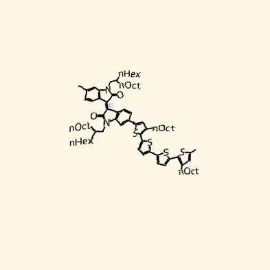 CCCCCCCCc1cc(C)sc1-c1ccc(-c2ccc(-c3sc(-c4ccc5c(c4)N(CC(CCCCCC)CCCCCCCC)C(=O)/C5=C4/C(=O)N(CC(CCCCCC)CCCCCCCC)c5cc(C)ccc54)cc3CCCCCCCC)s2)s1